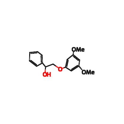 COc1cc(OC)cc(OCC(O)c2ccccc2)c1